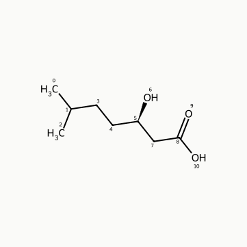 CC(C)CC[C@@H](O)CC(=O)O